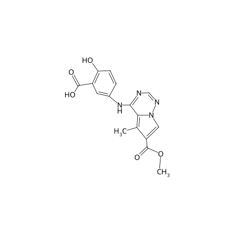 COC(=O)c1cn2ncnc(Nc3ccc(O)c(C(=O)O)c3)c2c1C